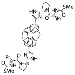 CSC(=O)N[C@H](C(=O)N1CCC[C@H]1c1nc(-c2ccc(-c3cc4ccc3CCc3ccc(c(-c5ccc(-c6c[nH]c([C@@H]7CCCN7C(=O)[C@@H](NC(=O)SC)C(C)C)n6)cc5)c3)CC4)cc2)c[nH]1)C(C)C